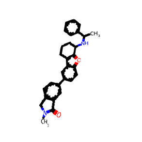 CC(NC1CCCc2c1oc1ccc(-c3ccc4c(c3)C(=O)N(C)C4)cc21)c1ccccc1